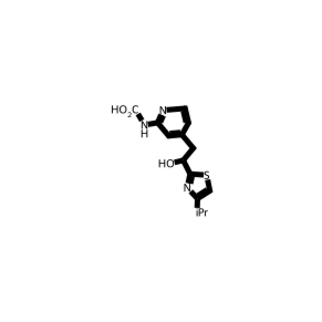 CC(C)c1csc(C(O)Cc2ccnc(NC(=O)O)c2)n1